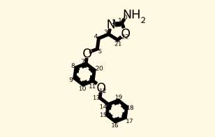 NC1=NC(CCOc2cccc(OCc3ccccc3)c2)CO1